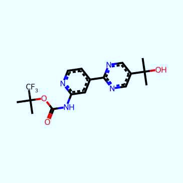 CC(C)(O)c1cnc(-c2ccnc(NC(=O)OC(C)(C)C(F)(F)F)c2)nc1